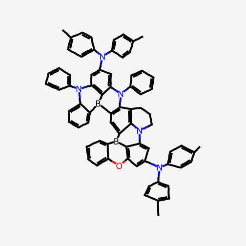 Cc1ccc(N(c2ccc(C)cc2)c2cc3c4c(c2)N2CCCc5c2c(cc2c5N(c5ccccc5)c5cc(N(c6ccc(C)cc6)c6ccc(C)cc6)cc6c5B2c2ccccc2N6c2ccccc2)B4c2ccccc2O3)cc1